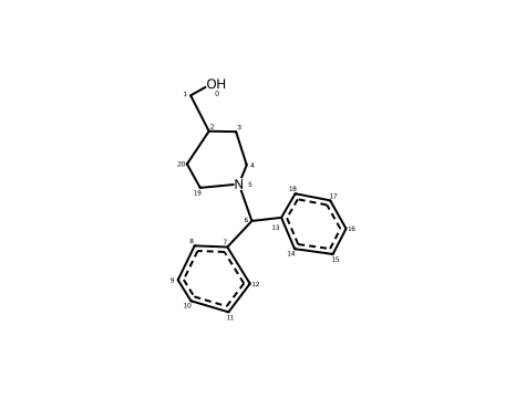 OCC1CCN(C(c2ccccc2)c2ccccc2)CC1